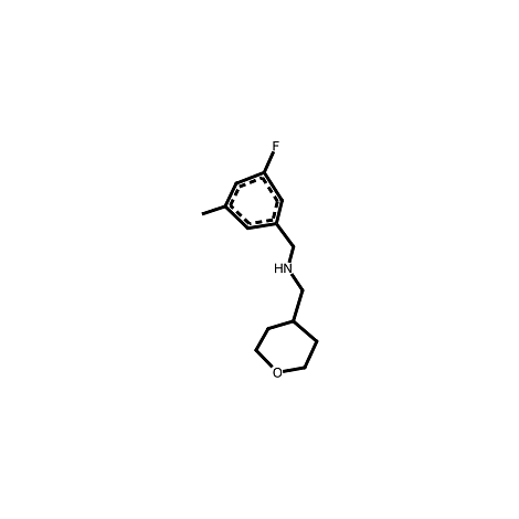 Cc1cc(F)cc(CNCC2CCOCC2)c1